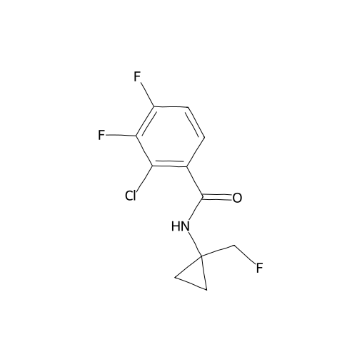 O=C(NC1(CF)CC1)c1ccc(F)c(F)c1Cl